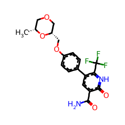 C[C@@H]1COC[C@H](COc2ccc(-c3cc(C(N)=O)c(=O)[nH]c3C(F)(F)F)cc2)O1